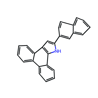 c1ccc2cc(-c3cc4c5ccccc5c5ccccc5c4[nH]3)ccc2c1